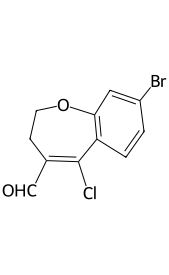 O=CC1=C(Cl)c2ccc(Br)cc2OCC1